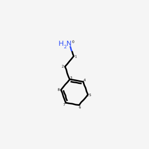 NCCC1=C[CH]CC=C1